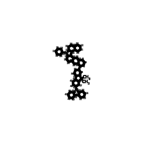 CC1(C)c2cc(-c3cccc4cc5c(ccc6c5c5c7ccccc7ccc5n6-c5ccccc5)cc34)ccc2-c2ccc(-n3c4ccccc4c4ccccc43)cc21